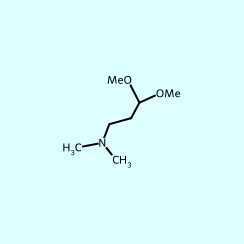 COC(CCN(C)C)OC